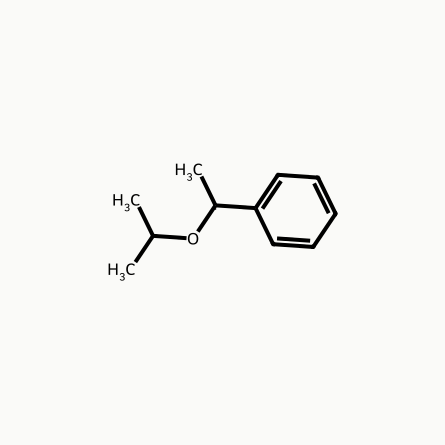 C[C](OC(C)C)c1ccccc1